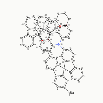 CC(C)(C)c1ccc2c(c1)C1(c3ccccc3-c3ccc(N(c4ccccc4-c4cccc5cccc(C6CCCCC6)c45)c4cccc5c4-c4ccccc4C5(c4ccccc4)c4ccccc4)cc31)c1cc(C(C)(C)C)ccc1-2